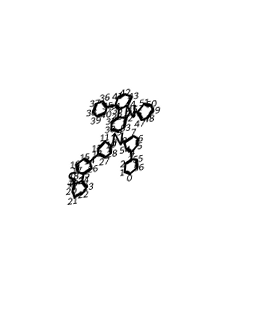 c1ccc(-c2cccc(N(c3ccc(-c4ccc5sc6ccccc6c5c4)cc3)c3ccc4c5c(-c6ccccc6)cccc5n(-c5ccccc5)c4c3)c2)cc1